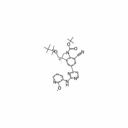 COc1ncccc1Nc1nccc(-c2cc(C#N)c3c(c2)[C@@](C)(CO[Si](C)(C)C(C)(C)C)CN3C(=O)OC(C)(C)C)n1